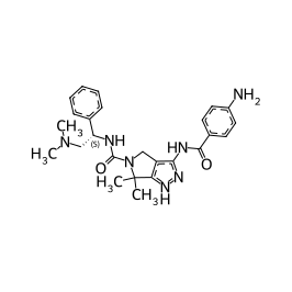 CN(C)C[C@@H](NC(=O)N1Cc2c(NC(=O)c3ccc(N)cc3)n[nH]c2C1(C)C)c1ccccc1